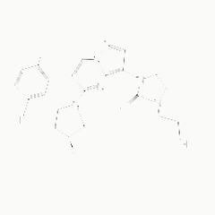 O=C1N(CCO)CCN1c1cnn2ccc(N3C[C@@H](F)C[C@@H]3c3cc(F)ccc3F)nc12